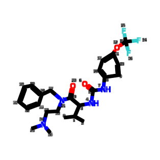 CC(C)C(NC(=O)Nc1ccc(OC(F)(F)F)cc1)C(=O)N(CCN(C)C)Cc1ccccc1